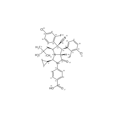 CC(C)(C)C[C@@H]1N2[C@H](C3CC3)N(c3ccc(C(=O)O)cc3)C(=O)[C@H]2[C@H](c2cccc(Cl)c2F)[C@@]1(C#N)c1ccc(Cl)cc1F